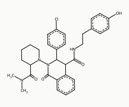 CN(C)C(=O)C1CCCCN1N1C(=O)c2ccccc2C(C(=O)NCCc2ccc(O)cc2)C1c1ccc(Cl)cc1